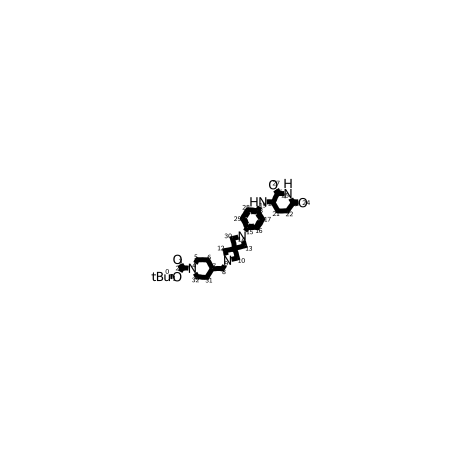 CC(C)(C)OC(=O)N1CCC(CN2CC3(C2)CN(c2ccc(NC4CCC(=O)NC4=O)cc2)C3)CC1